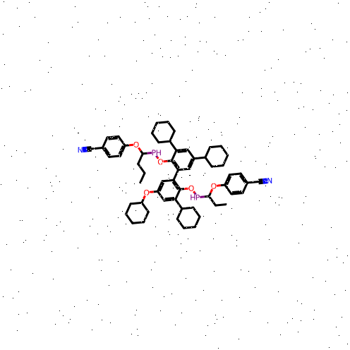 CCCC(Oc1ccc(C#N)cc1)POc1c(-c2cc(OC3CCCCC3)cc(C3CCCCC3)c2OPC(CC)Oc2ccc(C#N)cc2)cc(C2CCCCC2)cc1C1CCCCC1